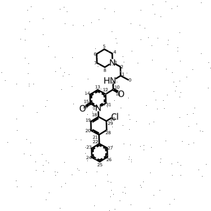 CC(CN1CCCCC1)NC(=O)c1ccc(=O)n(C2=CC=C(c3ccccc3)CC2Cl)c1